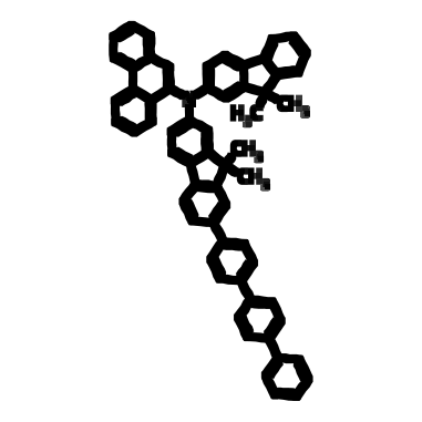 CC1(C)c2ccccc2-c2ccc(N(c3ccc4c(c3)C(C)(C)c3cc(-c5ccc(-c6ccc(-c7ccccc7)cc6)cc5)ccc3-4)c3cc4ccccc4c4ccccc34)cc21